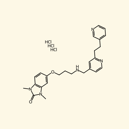 Cl.Cl.Cl.Cn1c(=O)n(C)c2cc(OCCCNCc3ccnc(CCc4cccnc4)c3)ccc21